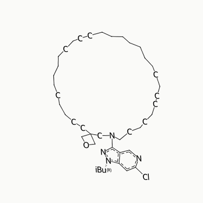 CC[C@@H](C)n1nc(N2CCCCCCCCCCCCCCCCCCCCCCCCCCCCCC3(COC3)C2)c2cnc(Cl)cc21